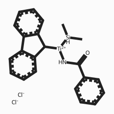 C[SiH](C)[Ti+2]([NH]C(=O)c1ccccc1)[CH]1c2ccccc2-c2ccccc21.[Cl-].[Cl-]